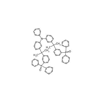 CC(C)(c1cccc(N(c2ccccc2)c2cccc(C(C)(C)c3cccc(P(=O)(c4ccccc4)c4ccccc4)c3)c2)c1)c1cccc(P(=O)(c2ccccc2)c2ccccc2)c1